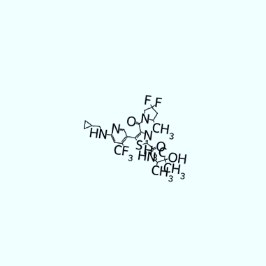 CC1CC(F)(F)CN1C(=O)c1nc(C(=O)NC(C)C(C)(C)O)sc1-c1cnc(NCC2CC2)cc1C(F)(F)F